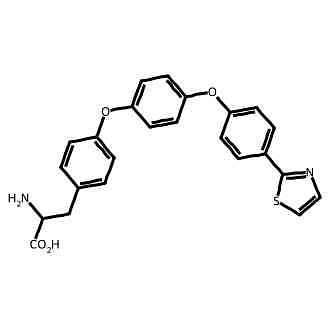 NC(Cc1ccc(Oc2ccc(Oc3ccc(-c4nccs4)cc3)cc2)cc1)C(=O)O